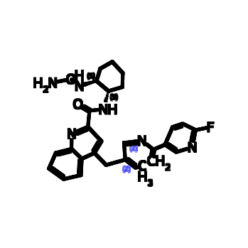 C=C(/N=C\C(=C/C)Cc1cc(C(=O)N[C@H]2CCCC[C@@H]2NON)nc2ccccc12)c1ccc(F)nc1